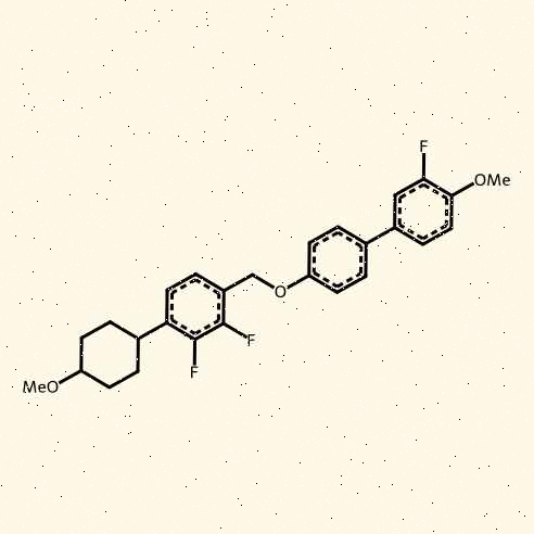 COc1ccc(-c2ccc(OCc3ccc(C4CCC(OC)CC4)c(F)c3F)cc2)cc1F